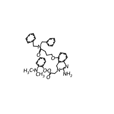 CN(C)c1ccccc1OOC(=O)CN1Cc2c(cccc2OCCCC(=O)N(Cc2ccccc2)Cc2ccccc2)N=C1N